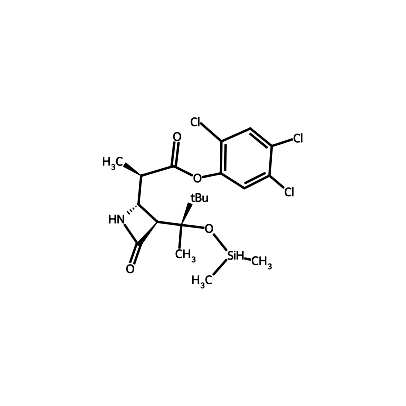 C[C@@H](C(=O)Oc1cc(Cl)c(Cl)cc1Cl)[C@H]1NC(=O)[C@@H]1[C@@](C)(O[SiH](C)C)C(C)(C)C